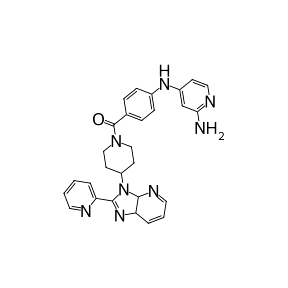 Nc1cc(Nc2ccc(C(=O)N3CCC(N4C(c5ccccn5)=NC5C=CC=NC54)CC3)cc2)ccn1